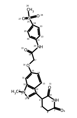 Cn1nc(C2CCC(=O)NC2=O)c2ccc(OCC(=O)Nc3ccc(S(C)(=O)=O)cc3)cc21